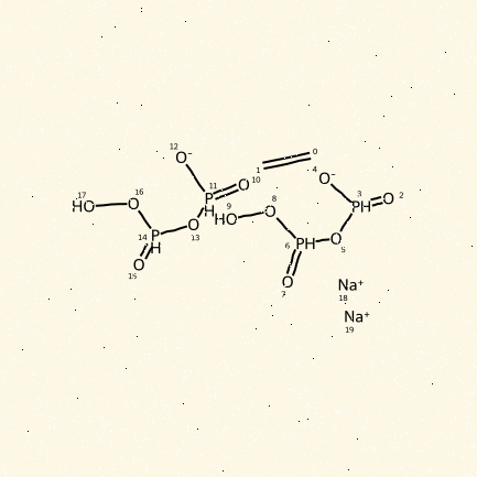 C=C.O=[PH]([O-])O[PH](=O)OO.O=[PH]([O-])O[PH](=O)OO.[Na+].[Na+]